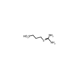 NC(N)=[S+]CCCS(=O)(=O)O